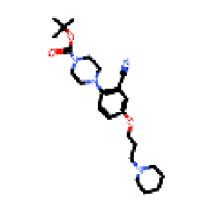 CC(C)(C)OC(=O)N1CCN(c2ccc(OCCCN3CCCCC3)cc2C#N)CC1